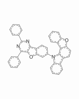 c1ccc(-c2nc(-c3ccccc3)c3oc4cc(-n5c6ccccc6c6ccc7oc8ccccc8c7c65)ccc4c3n2)cc1